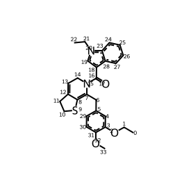 CCOc1cc(CC2=C3SCCC3=CCN2C(=O)c2cn(CC)c3ccccc23)ccc1OC